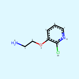 NCCOc1cccnc1Cl